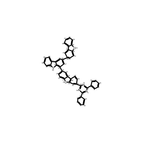 c1ccc(-c2nc(-c3ccccc3)nc(-c3ccc4c(c3)oc3ccc(-c5cc(-c6ccc7oc8ccccc8c7c6)cc6c5sc5ccccc56)cc34)n2)cc1